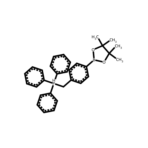 CC1(C)OB(c2ccc(C[PH](c3ccccc3)(c3ccccc3)c3ccccc3)cc2)OC1(C)C